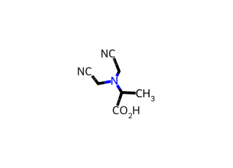 CC(C(=O)O)N(CC#N)CC#N